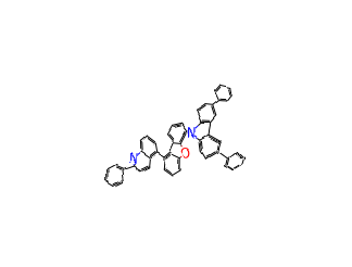 c1ccc(-c2ccc3c(c2)c2cc(-c4ccccc4)ccc2n3-c2cccc3c2oc2cccc(-c4cccc5nc(-c6ccccc6)ccc45)c23)cc1